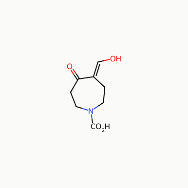 O=C1CCN(C(=O)O)CCC1=CO